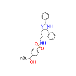 CCCCC(O)c1ccc(S(=O)(=O)NCCCc2nc(-c3ccccc3)[nH]c2-c2ccccc2)cc1